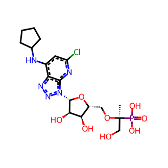 C[C@](CO)(OC[C@H]1O[C@@H](n2nnc3c(NC4CCCC4)cc(Cl)nc32)[C@H](O)[C@@H]1O)P(=O)(O)O